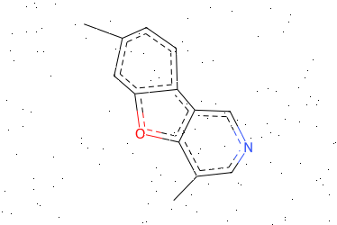 Cc1ccc2c(c1)oc1c(C)cncc12